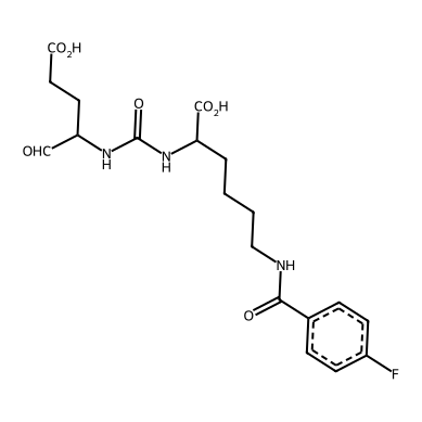 O=CC(CCC(=O)O)NC(=O)NC(CCCCNC(=O)c1ccc(F)cc1)C(=O)O